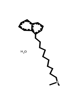 CN(C)CCCCCCCCCCc1cccc2ccccc12.O